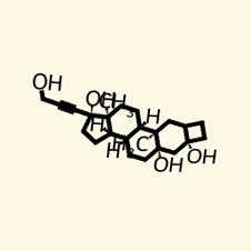 C[C@]12CC[C@H]3[C@@H](CC[C@]4(O)C[C@]5(O)CCC5C[C@]34C)[C@@H]1CC[C@@]2(O)C#CCO